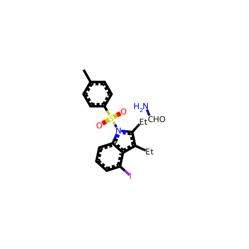 CCc1c(CC)n(S(=O)(=O)c2ccc(C)cc2)c2cccc(I)c12.NC=O